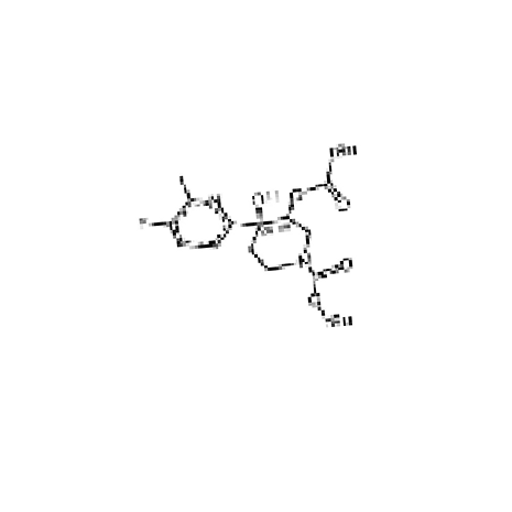 Cc1nc([C@@]2(O)CCN(C(=O)OC(C)(C)C)C[C@@H]2OC(=O)C(C)(C)C)ccc1F